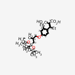 CCC(=C(C(=O)O)C(=O)O)c1ccc(OCC(C)C[Si](C)(O[Si](C)(C)C)O[Si](C)(C)C)cc1CC